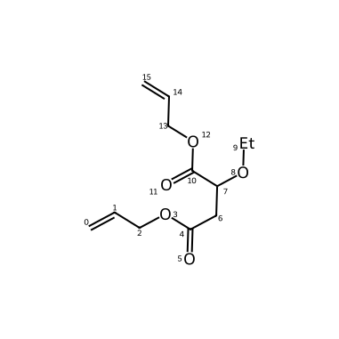 C=CCOC(=O)CC(OCC)C(=O)OCC=C